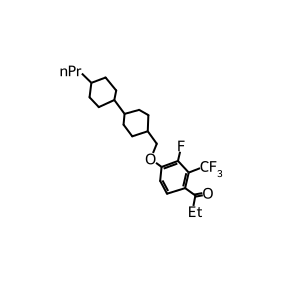 CCCC1CCC(C2CCC(COc3ccc(C(=O)CC)c(C(F)(F)F)c3F)CC2)CC1